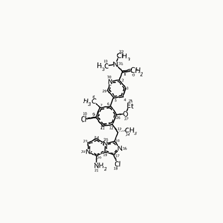 C=C(c1ccc(-c2c(C)c(Cl)cc([C@H](C)c3nc(Cl)c4c(N)nccn34)c2OCC)cn1)N(C)C